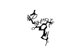 Cc1nnc(CNC(=O)c2cc(-c3ccc(F)cn3)cc(C(O)C(F)(F)F)c2)o1